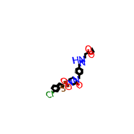 O=C1CN(S(=O)(=O)c2cc3ccc(Cl)cc3s2)CCN1Cc1ccc(C=NNCCC2OCCO2)cc1